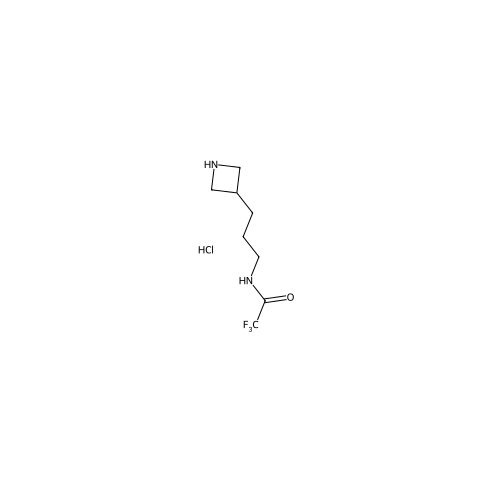 Cl.O=C(NCCCC1CNC1)C(F)(F)F